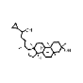 C[C@H](CCC(O)C1CC1)[C@H]1CC[C@H]2[C@@H]3CC[C@H]4C[C@@](C)(O)CC[C@]4(C)[C@H]3CC[C@]12C